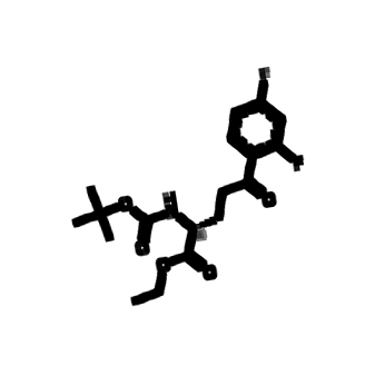 CCOC(=O)[C@@H](CCC(=O)c1ccc(F)cc1F)NC(=O)OC(C)(C)C